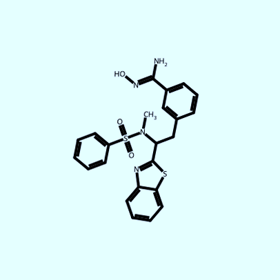 CN(C(Cc1cccc(C(N)=NO)c1)c1nc2ccccc2s1)S(=O)(=O)c1ccccc1